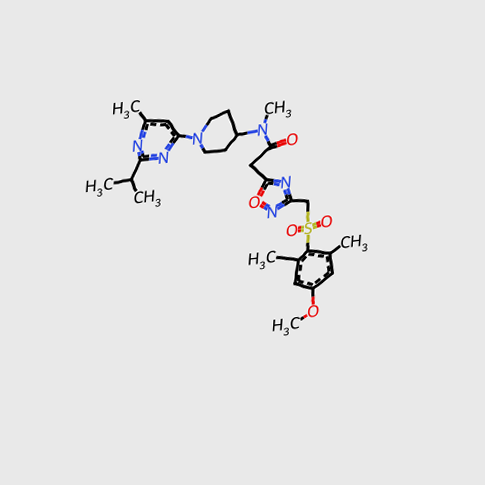 COc1cc(C)c(S(=O)(=O)Cc2noc(CC(=O)N(C)C3CCN(c4cc(C)nc(C(C)C)n4)CC3)n2)c(C)c1